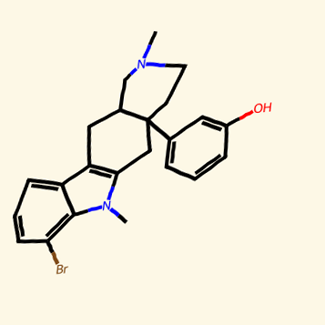 CN1CCC2(c3cccc(O)c3)Cc3c(c4cccc(Br)c4n3C)CC2C1